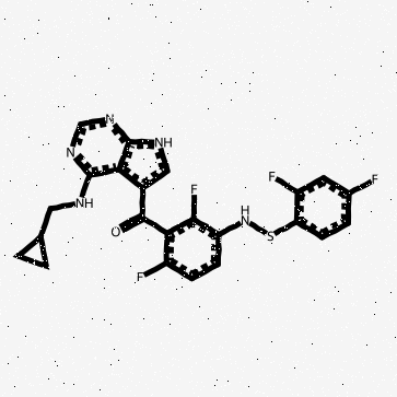 O=C(c1c(F)ccc(NSc2ccc(F)cc2F)c1F)c1c[nH]c2ncnc(NCC3CC3)c12